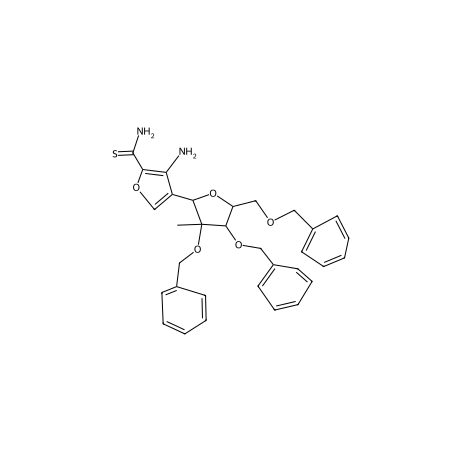 CC1(OCc2ccccc2)C(c2coc(C(N)=S)c2N)OC(COCc2ccccc2)C1OCc1ccccc1